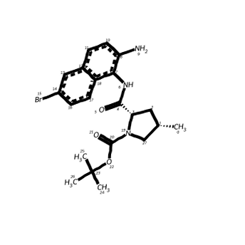 C[C@H]1C[C@@H](C(=O)Nc2c(N)ccc3cc(Br)ccc23)N(C(=O)OC(C)(C)C)C1